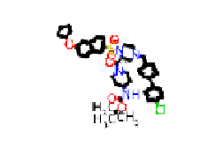 CC(C)(C)OC(=O)NC1CCN(C(=O)[C@@H]2CN(Cc3ccc(-c4ccc(Cl)cc4)cc3)CCN2S(=O)(=O)c2ccc3cc(OC4CCCC4)ccc3c2)CC1